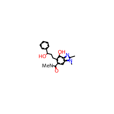 CNC(=O)c1cc2c(nc(C)n2C)c(O)c1CCC(O)c1ccccc1